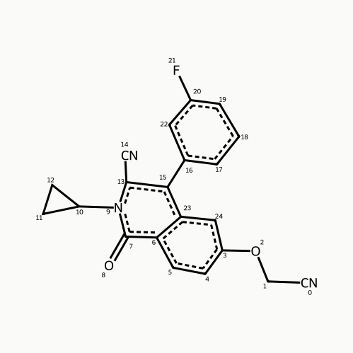 N#CCOc1ccc2c(=O)n(C3CC3)c(C#N)c(-c3cccc(F)c3)c2c1